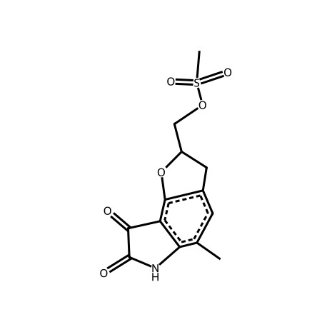 Cc1cc2c(c3c1NC(=O)C3=O)OC(COS(C)(=O)=O)C2